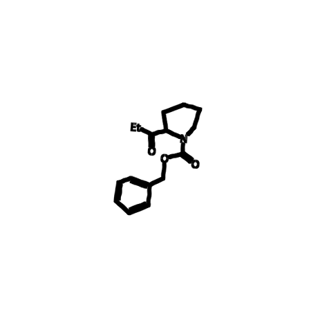 CCC(=O)C1CCCCN1C(=O)OCc1ccccc1